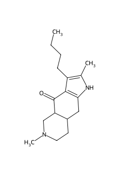 CCCCc1c(C)[nH]c2c1C(=O)C1CN(C)CCC1C2